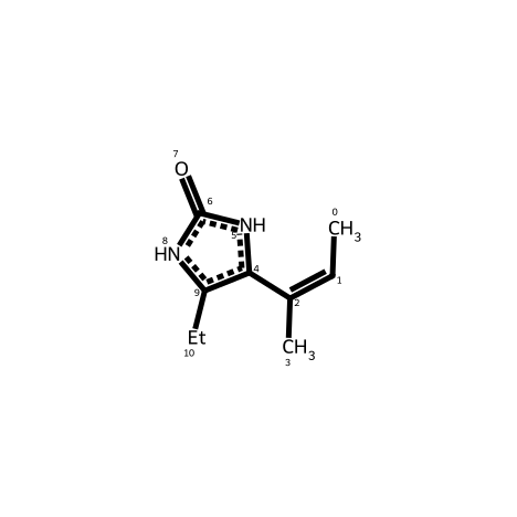 C/C=C(/C)c1[nH]c(=O)[nH]c1CC